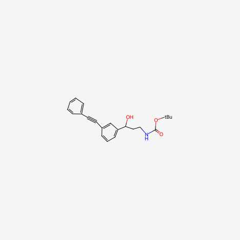 CC(C)(C)OC(=O)NCCC(O)c1cccc(C#Cc2ccccc2)c1